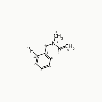 C=NN(C)Cc1ccccc1F